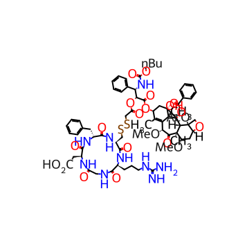 CCCCOC(=O)N[C@@H](c1ccccc1)[C@@H](OC(=O)CSSC[C@@H]1NC(=O)[C@@H](Cc2ccccc2)NC(=O)[C@H](CC(=O)O)NC(=O)CNC(=O)[C@H](CCCNC(=N)N)NC1=O)C(=O)O[C@H]1C[C@]2(O)[C@]3(C)C(=C1C)[C@@H](OC)C(=O)[C@]1(C)[C@@H](OC)C[C@H]4OC[C@@]4(OC(C)=O)[C@H]1[C@@]23OC(=O)c1ccccc1